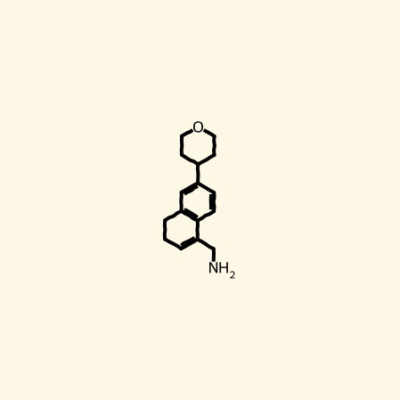 NCC1=CCCc2cc(C3CCOCC3)ccc21